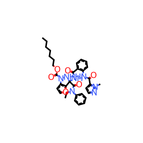 CCCCCCCOC(=O)N1NC(NC(=O)c2ccccc2NC(=O)c2ccnn2C)(C(=O)N(CC)c2ccccc2)c2occc21